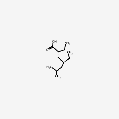 CC[C@@H](CC(C)C)C[C@@H](CN)C(=O)O